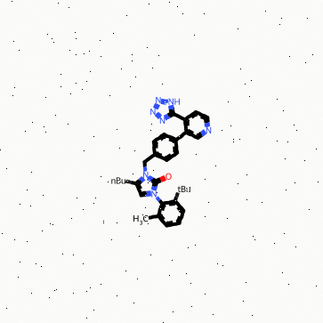 CCCCc1cn(-c2c(C)cccc2C(C)(C)C)c(=O)n1Cc1ccc(-c2cnccc2-c2nnn[nH]2)cc1